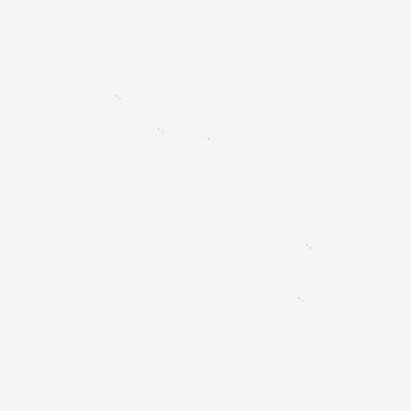 CC(C)N1CCN(c2ccc(-c3ccc(NS(=O)(=O)N4CCOCC4)cc3)cn2)CC1